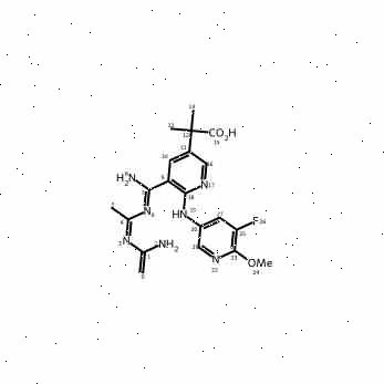 C=C(N)/N=C(C)\N=C(/N)c1cc(C(C)(C)C(=O)O)cnc1Nc1cnc(OC)c(F)c1